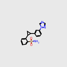 NS(=O)(=O)c1ccccc1C1CC1c1cccc(-n2cncn2)c1